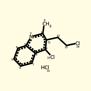 Cc1nc2ccccc2c(Cl)c1CCCl.Cl